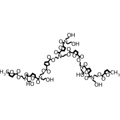 Cc1ccc(C(=O)OCCN(CCO)C(=O)c2ccc(C(=O)N(CCO)CCOC(=O)C3=CC=C(C(=O)OCCN(CCOC(=O)c4ccc(C(=O)OCCN(CCO)C(=O)c5ccc(C(=O)N(CCO)CCOC(=O)c6ccc(C)o6)o5)o4)C(=O)c4ccc(C(=O)N(CCO)CCO)o4)C3)o2)o1